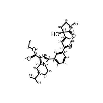 CCOC(=O)c1nc(-c2cccc(-c3cc([C@]4(O)CCN(C)C4=O)on3)c2)n2c1CN(C(C)C)CC2